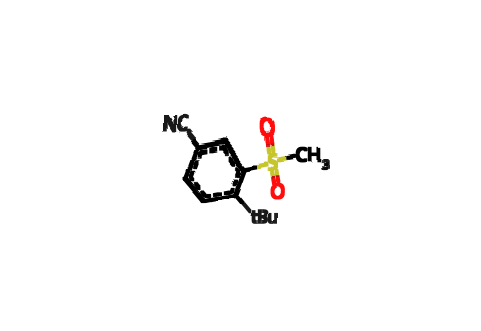 CC(C)(C)c1ccc(C#N)cc1S(C)(=O)=O